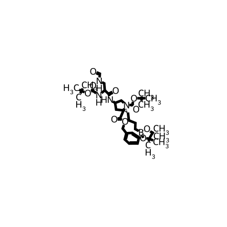 CC(C)(C)OC(=O)NC(CNC=O)C(=O)NC1CN(C(=O)OC(C)(C)C)[C@@](CCCCB2OC(C)(C)C(C)(C)O2)(C(=O)OCc2ccccc2)C1